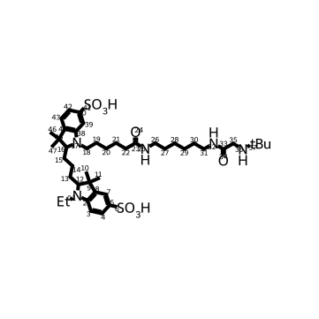 CCN1c2ccc(S(=O)(=O)O)cc2C(C)(C)C1CCCC1N(CCCCCC(=O)NCCCCCCNC(=O)CNC(C)(C)C)c2cc(S(=O)(=O)O)ccc2C1(C)C